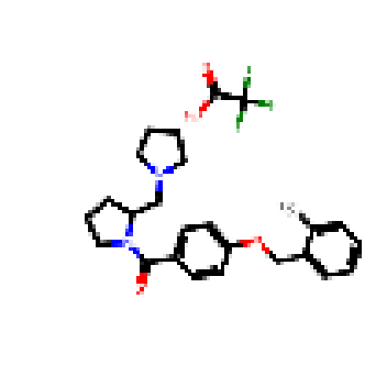 O=C(O)C(F)(F)F.O=C(c1ccc(OCc2ccccc2C(F)(F)F)cc1)N1CCCC1CN1CCCC1